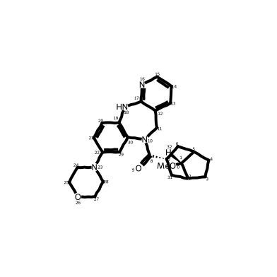 CO[C@H]1C2CCC1C[C@@H](C(=O)N1Cc3cccnc3Nc3ccc(N4CCOCC4)cc31)C2